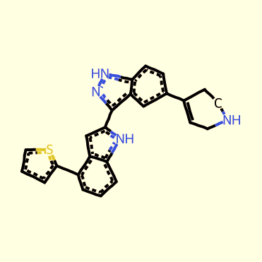 C1=C(c2ccc3[nH]nc(-c4cc5c(-c6cccs6)cccc5[nH]4)c3c2)CCNC1